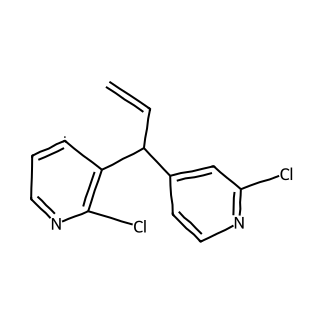 C=CC(c1ccnc(Cl)c1)c1[c]ccnc1Cl